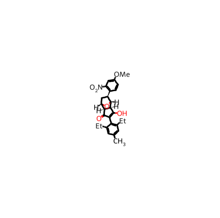 CCc1cc(C)cc(CC)c1C1=C(O)[C@@H]2[C@@H]3O[C@@H](C[C@H]3c3ccc(OC)cc3[N+](=O)[O-])[C@@H]2C1=O